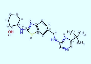 CC(C)(C)c1cncc(NCc2ccc3nc(NC4CCCC[C@H]4O)sc3c2)n1